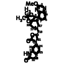 COc1cnc2cccc(C3OC(C)(C)OC34CCN(C[C@@H]3CN(c5ccc6c(c5)NC(=O)CS6)C(=O)O3)CC4)c2n1